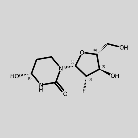 O=C1N[C@H](O)CCN1[C@@H]1O[C@H](CO)[C@@H](O)[C@@H]1F